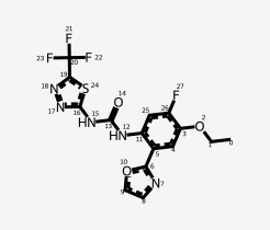 CCOc1cc(-c2ncco2)c(NC(=O)Nc2nnc(C(F)(F)F)s2)cc1F